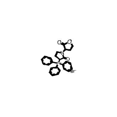 O=C1OCCC1N1CCC([P+](c2ccccc2)(c2ccccc2)c2ccccc2)C1=O.[Br-]